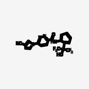 N#Cc1ccn(-c2ccc(C(=O)Nc3ccccc3C(O)(C(F)(F)F)C(F)(F)F)nn2)c1